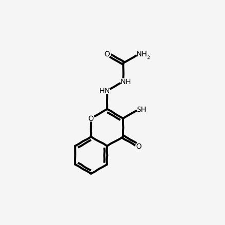 NC(=O)NNc1oc2ccccc2c(=O)c1S